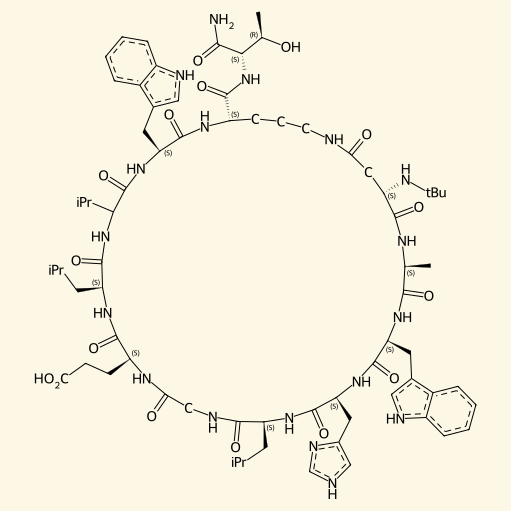 CC(C)C[C@@H]1NC(=O)[C@H](Cc2c[nH]cn2)NC(=O)[C@H](Cc2c[nH]c3ccccc23)NC(=O)[C@H](C)NC(=O)[C@@H](NC(C)(C)C)CC(=O)NCCC[C@@H](C(=O)N[C@H](C(N)=O)[C@@H](C)O)NC(=O)[C@H](Cc2c[nH]c3ccccc23)NC(=O)C(C(C)C)NC(=O)[C@H](CC(C)C)NC(=O)[C@H](CCC(=O)O)NC(=O)CNC1=O